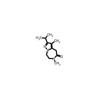 Cc1c(C(C)C)nn2c1CC(=O)N(C)CC2